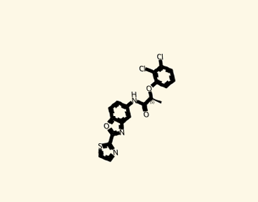 C[C@H](Oc1cccc(Cl)c1Cl)C(=O)Nc1ccc2oc(-c3nccs3)nc2c1